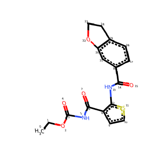 CCOC(=O)NC(=O)c1ccsc1NC(=O)c1ccc2c(c1)OCC2